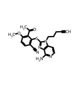 C#CCCCn1c(Sc2c(C#N)ccc(OC)c2C(C)=O)nc2c(N)nccc21